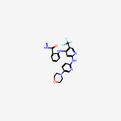 CNC(=O)c1ccccc1Nc1cc(Nc2ccc(N3CCOCC3)cn2)ncc1C(F)(F)F